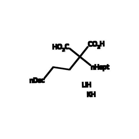 CCCCCCCCCCCCC(CCCCCCC)(C(=O)O)C(=O)O.[KH].[LiH]